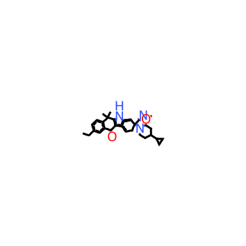 CCc1ccc2c(c1)C(=O)c1c([nH]c3c1=CCC(C#N)(N1CCC(C4CC4)CC1OC)C=3)C2(C)C